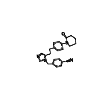 N#Cc1ccc(Cn2cncc2CCc2ccc(N3CCCCC3=O)cc2)cc1